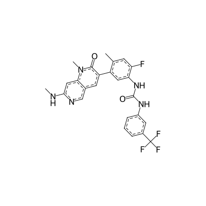 CNc1cc2c(cn1)cc(-c1cc(NC(=O)Nc3cccc(C(F)(F)F)c3)c(F)cc1C)c(=O)n2C